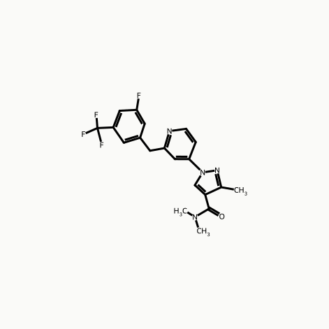 Cc1nn(-c2ccnc(Cc3cc(F)cc(C(F)(F)F)c3)c2)cc1C(=O)N(C)C